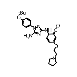 CC(C)(C)Oc1ccc(-n2nc(NC3C=CC(OCCN4CCCC4)=CC3=C=O)nc2N)cc1